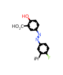 CC(C)c1cc(/N=N/c2ccc(O)c(C(=O)O)c2)ccc1F